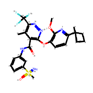 COc1nc(C2(C)CCC2)ccc1Oc1nnc(C(F)(F)F)c(C)c1C(=O)Nc1cccc(S(C)(=N)=O)c1